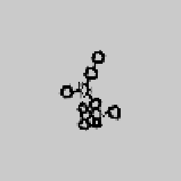 c1ccc(-c2ccc(-c3nc(-c4ccccc4)nc(-c4ccc5c(c4)C4(c6ccccc6-c6ccccc64)c4ccccc4N5c4ccccc4)n3)cc2)cc1